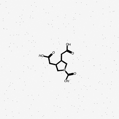 O=C(O)CC1CN(C(=O)O)CC1CC(=O)O